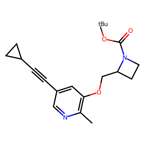 Cc1ncc(C#CC2CC2)cc1OCC1CCN1C(=O)OC(C)(C)C